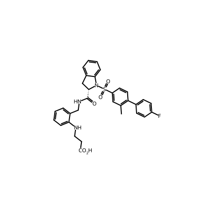 Cc1cc(S(=O)(=O)N2c3ccccc3C[C@H]2C(=O)NCc2ccccc2NCCC(=O)O)ccc1-c1ccc(F)cc1